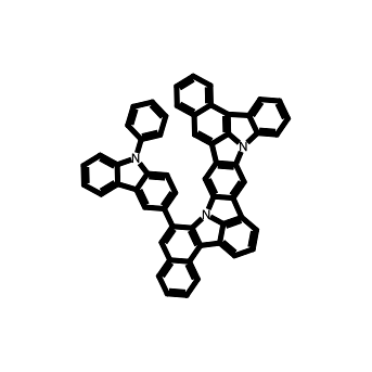 c1ccc(-n2c3ccccc3c3cc(-c4cc5ccccc5c5c6cccc7c8cc9c(cc8n(c45)c76)c4cc5ccccc5c5c6ccccc6n9c45)ccc32)cc1